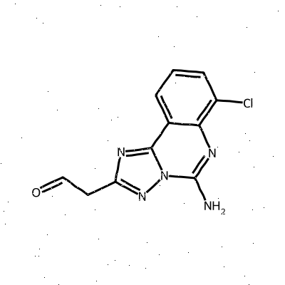 Nc1nc2c(Cl)cccc2c2nc(CC=O)nn12